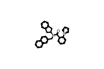 O=C(c1ccccc1-n1cccc1)N(Cc1ccc2ccccc2c1)C1Cc2ccccc2C1